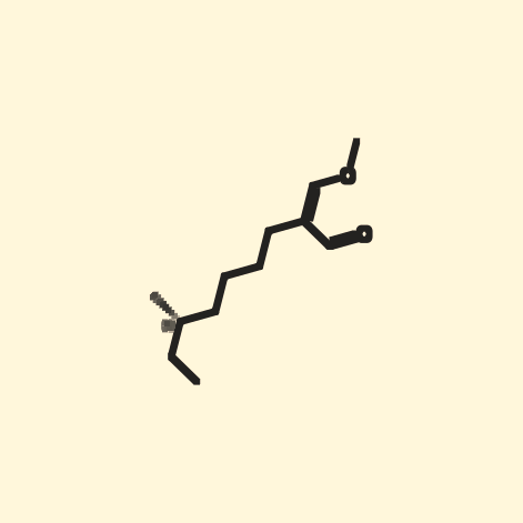 CC[C@H](C)CCCCC(C=O)=COC